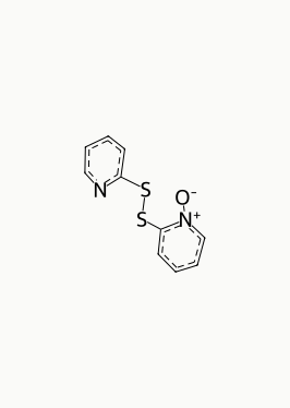 [O-][n+]1ccccc1SSc1ccccn1